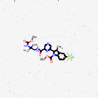 Cc1c(-c2cncc(C(=O)NCC(C)(C)NC(=O)OC(C)(C)C)n2)n(C(=O)OC(C)(C)C)c2ccc(S(F)(F)(F)(F)F)cc12